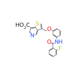 O=C(Nc1cccc(OCc2csc3c(C(=O)O)cncc23)c1)c1ccccc1F